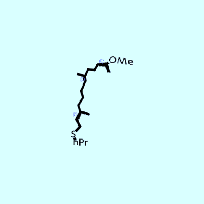 CCCSC/C=C(\C)CCC/C=C(\C)CC/C=C(\C)OC